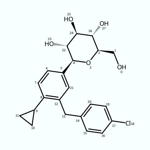 OC[C@H]1O[C@@H](c2ccc(C3CC3)c(Cc3ccc(Cl)cc3)c2)[C@H](O)[C@@H](O)[C@@H]1O